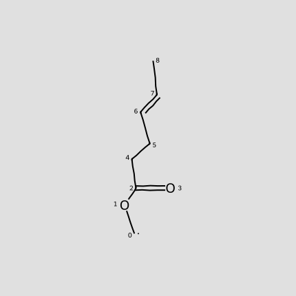 [CH2]OC(=O)CCC=CC